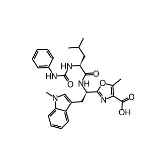 Cc1oc([C@@H](Cc2cn(C)c3ccccc23)NC(=O)[C@H](CC(C)C)NC(=O)Nc2ccccc2)nc1C(=O)O